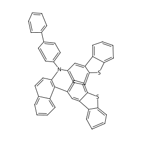 c1ccc(-c2ccc(N(c3ccc4sc5ccccc5c4c3)c3ccc4ccccc4c3-c3ccc4sc5ccccc5c4c3)cc2)cc1